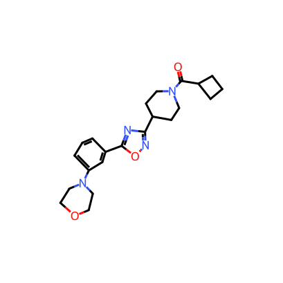 O=C(C1CCC1)N1CCC(c2noc(-c3cccc(N4CCOCC4)c3)n2)CC1